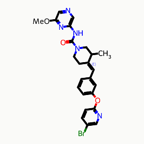 COc1cncc(NC(=O)N2CC/C(=C\c3cccc(Oc4ccc(Br)cn4)c3)C(C)C2)n1